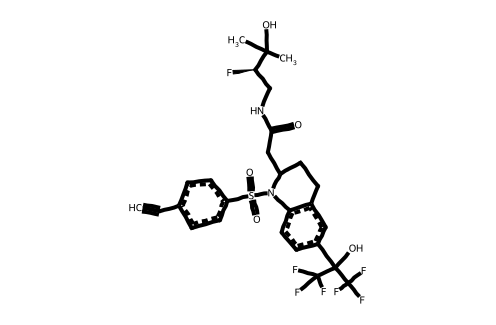 C#Cc1ccc(S(=O)(=O)N2c3ccc(C(O)(C(F)(F)F)C(F)(F)F)cc3CCC2CC(=O)NC[C@@H](F)C(C)(C)O)cc1